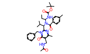 CCC(NC(=O)OC(C)(C)C)N(C(=O)c1ccc(C)cc1)C(c1nc(C)c(CNC(C)=O)c(=O)n1Cc1ccccc1)C(C)C